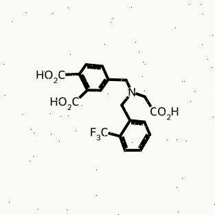 O=C(O)CN(Cc1ccc(C(=O)O)c(C(=O)O)c1)Cc1ccccc1C(F)(F)F